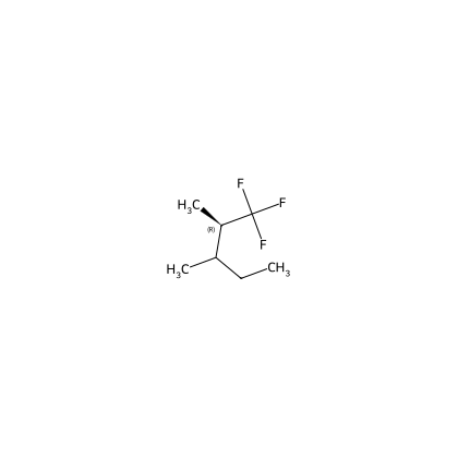 CCC(C)[C@@H](C)C(F)(F)F